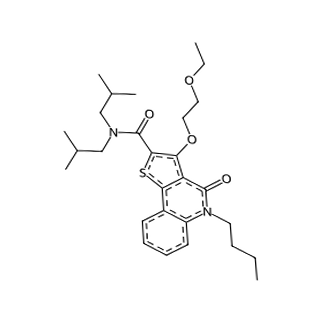 CCCCn1c(=O)c2c(OCCOCC)c(C(=O)N(CC(C)C)CC(C)C)sc2c2ccccc21